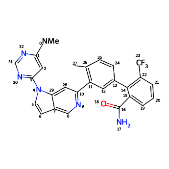 CNc1cc(-n2ccc3cnc(-c4cc(-c5c(C(N)=O)cccc5C(F)(F)F)ccc4C)cc32)ncn1